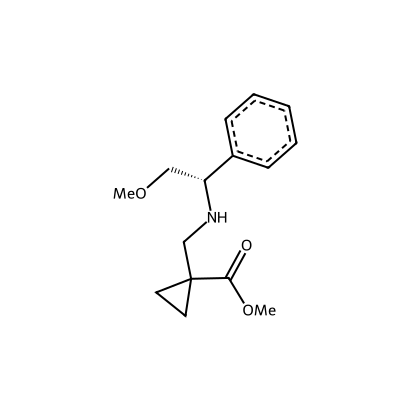 COC[C@@H](NCC1(C(=O)OC)CC1)c1ccccc1